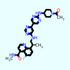 CNC(=O)c1ccnc2c([C@H](C)CNc3cc(-c4cnc(NC5CCN(C(C)=O)CC5)nc4)ncn3)ccc(F)c12